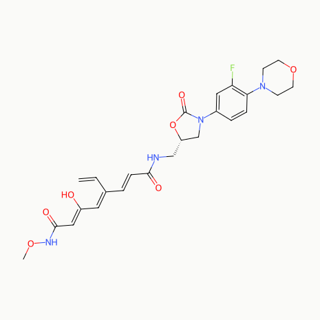 C=CC(/C=C/C(=O)NC[C@H]1CN(c2ccc(N3CCOCC3)c(F)c2)C(=O)O1)=C\C(O)=C\C(=O)NOC